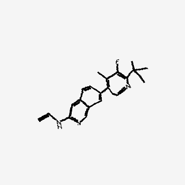 C=CNc1cc2ccc(-c3cnc(C(C)(C)C)c(F)c3C)cc2cn1